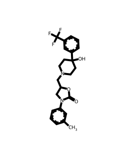 Cc1cccc(N2CC(CN3CCC(O)(c4cccc(C(F)(F)F)c4)CC3)OC2=O)c1